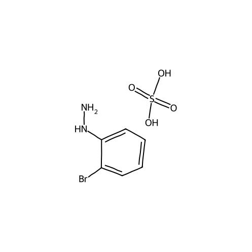 NNc1ccccc1Br.O=S(=O)(O)O